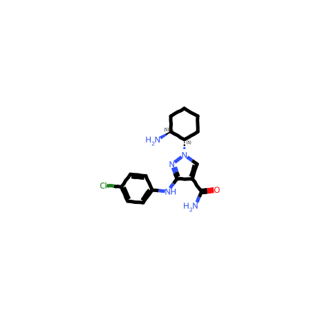 NC(=O)c1cn([C@H]2CCCC[C@@H]2N)nc1Nc1ccc(Cl)cc1